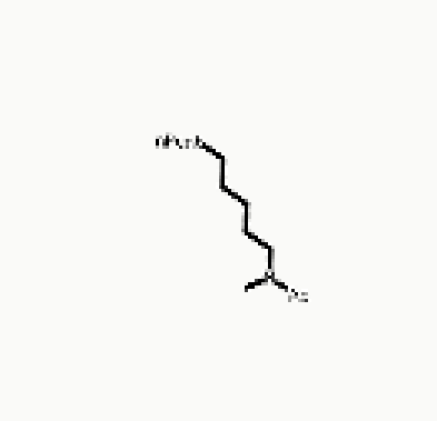 CCCCCCCCCCN(C)C(C)=O